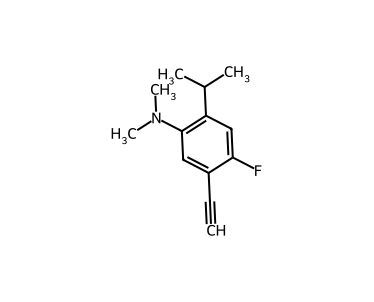 C#Cc1cc(N(C)C)c(C(C)C)cc1F